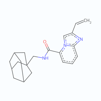 C=Cc1cn2c(C(=O)NCC34CC5CC(CC(C5)C3)C4)cccc2n1